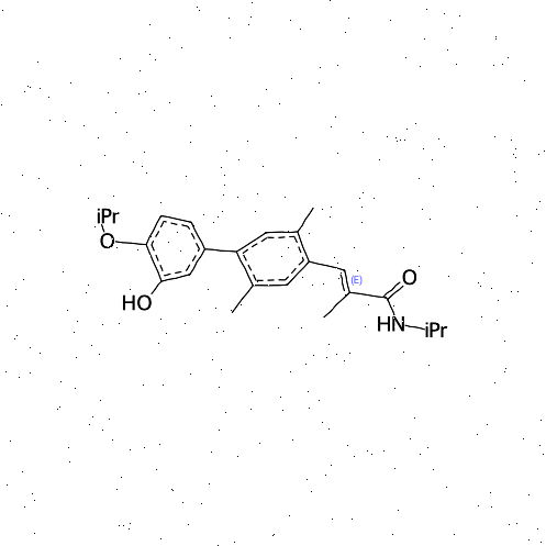 C/C(=C\c1cc(C)c(-c2ccc(OC(C)C)c(O)c2)cc1C)C(=O)NC(C)C